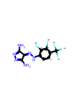 NC1=NN=C(N)C1=NNc1ccc(C(F)(F)F)c(F)c1F